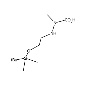 CN(NCCO[Si](C)(C)C(C)(C)C)C(=O)O